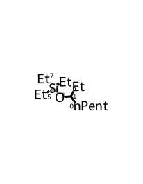 CCCCCC(CC)O[Si](CC)(CC)CC